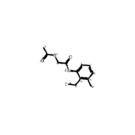 CC(=O)OCC(=O)Nc1cccc(C)c1CCl